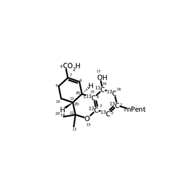 CCCCC[13C]1=[13CH][13C]2=[13C]([C@@H]3C=C(C(=O)O)CC[C@H]3C(C)(C)O2)[13CH](O)[13CH2]1